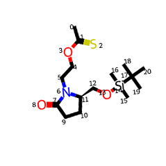 CC(=S)OCCN1C(=O)CC[C@@H]1CO[Si](C)(C)C(C)(C)C